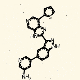 Nc1cncc(-c2ccc3[nH]nc(-c4nc5c(-c6cccs6)cncc5[nH]4)c3c2)c1